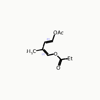 CCC(=O)O/C=C(C)\C=C\OC(C)=O